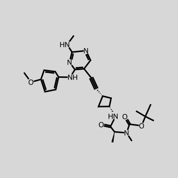 CNc1ncc(C#C[C@H]2C[C@@H](NC(=O)[C@H](C)N(C)C(=O)OC(C)(C)C)C2)c(Nc2ccc(OC)cc2)n1